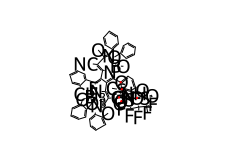 Cc1ccccc1-c1c2/c(=C(\C#N)c3nc4ccccc4o3)n(B3Oc4ccccc4O3)c(-c3ccc(OS(=O)(=O)C(F)(F)C(F)(F)C(F)(F)S(=O)(=O)NS(=O)(=O)C(F)(F)F)cc3)c2/c(=C(\C#N)c2nc3ccccc3o2)n1B1Oc2ccccc2O1